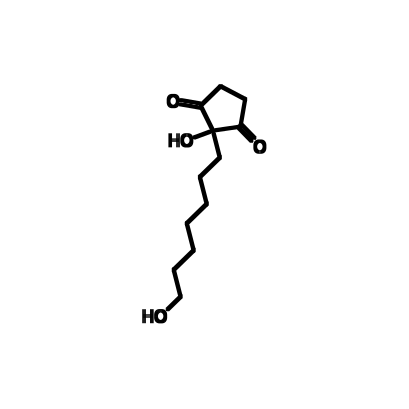 O=C1CCC(=O)C1(O)CCCCCCCO